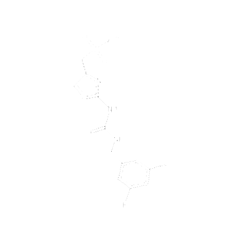 CCCS(=O)(=O)Cc1csc(NC(=O)NCc2cc(F)cc(F)c2)n1